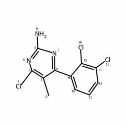 Cc1c(Cl)nc(N)nc1-c1cccc(Cl)c1Cl